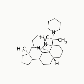 CC(C)(N1CCCCC1)C1(N2CCCCC2)CCC[C@@H]2CCC3C4CCC[C@@]4(C)CCC3[C@]21C